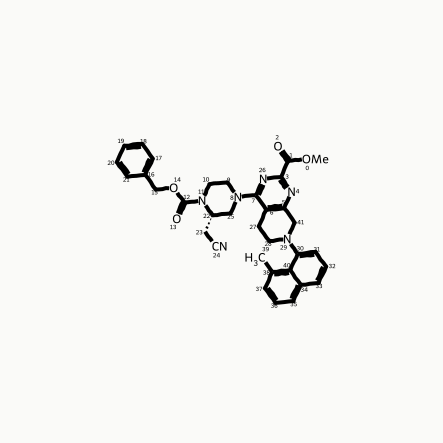 COC(=O)c1nc2c(c(N3CCN(C(=O)OCc4ccccc4)[C@@H](CC#N)C3)n1)CCN(c1cccc3cccc(C)c13)C2